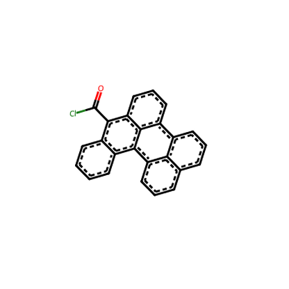 O=C(Cl)c1c2ccccc2c2c3cccc4cccc(c5cccc1c52)c43